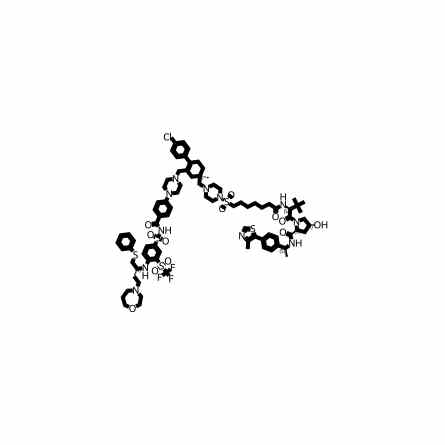 Cc1ncsc1-c1ccc([C@H](C)NC(=O)[C@@H]2C[C@@H](O)CN2C(=O)[C@@H](NC(=O)CCCCCCS(=O)(=O)N2CCN(C[C@]3(C)CCC(c4ccc(Cl)cc4)=C(CN4CCN(c5ccc(C(=O)NS(=O)(=O)c6ccc(N[C@H](CCN7CCCOCC7)CSc7ccccc7)c(S(=O)(=O)C(F)(F)F)c6)cc5)CC4)C3)CC2)C(C)(C)C)cc1